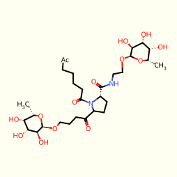 CC(=O)CCCCC(=O)N1C(C(=O)CCCO[C@@H]2O[C@@H](C)[C@@H](O)[C@@H](O)[C@@H]2O)CC[C@H]1C(=O)NCCO[C@@H]1O[C@@H](C)[C@@H](O)[C@@H](O)[C@@H]1O